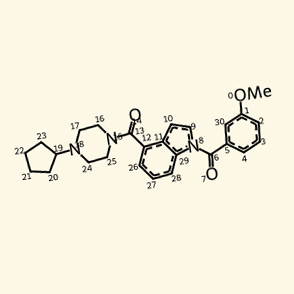 COc1cccc(C(=O)n2ccc3c(C(=O)N4CCN(C5CCCC5)CC4)cccc32)c1